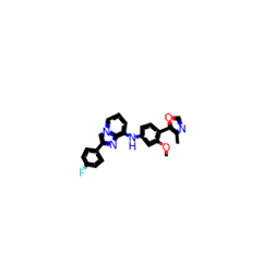 COc1cc(Nc2cccn3cc(-c4ccc(F)cc4)nc23)ccc1-c1ocnc1C